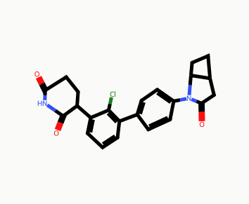 O=C1CCC(c2cccc(-c3ccc(N4C(=O)CC5CCC54)cc3)c2Cl)C(=O)N1